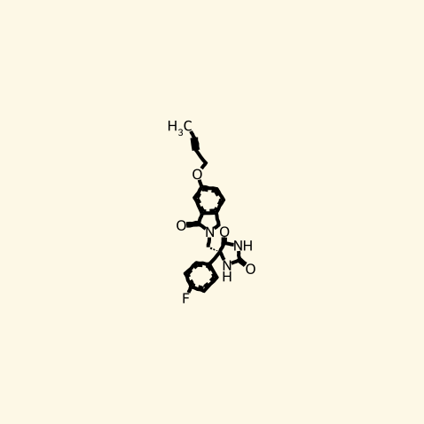 CC#CCOc1ccc2c(c1)C(=O)N(C[C@@]1(c3ccc(F)cc3)NC(=O)NC1=O)C2